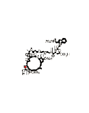 CNN(C)Cc1cc2ccccc2n1COC(=O)N[C@@H](CCC(=O)O)C(=O)NCCOCCOCCC(=O)N(C)[C@@H](C)C(=O)O[C@H]1CC(=O)N(C)c2cc(cc(OC)c2Cl)C/C(C)=C/C=C/[C@@H](OC)[C@@]2(O)C[C@H](OC(O)N2)C2(C)C[C@@]1(C)O2